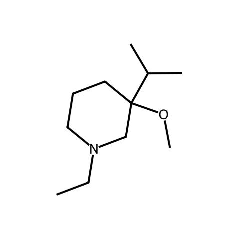 CCN1CCCC(OC)(C(C)C)C1